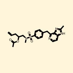 C=CCC(CN(C)S(=O)(=O)c1ccc(Cc2nccc3[nH]c(C)nc23)cc1)OC(C)=O